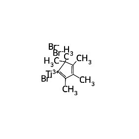 CC1=C(C)C(C)(C)[C]([Ti+3])=C1C.[Br-].[Br-].[Br-]